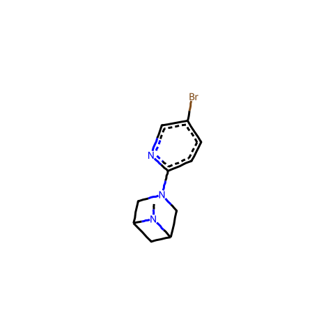 CN1C2CC1CN(c1ccc(Br)cn1)C2